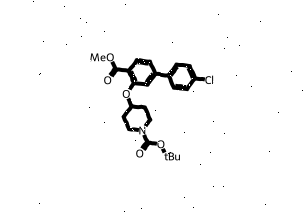 COC(=O)c1ccc(-c2ccc(Cl)cc2)cc1OC1CCN(C(=O)OC(C)(C)C)CC1